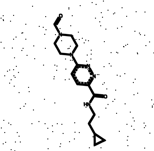 O=CN1CCN(c2ccc(C(=O)NCCC3CC3)nn2)CC1